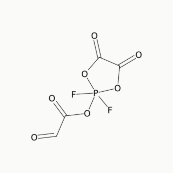 O=CC(=O)OP1(F)(F)OC(=O)C(=O)O1